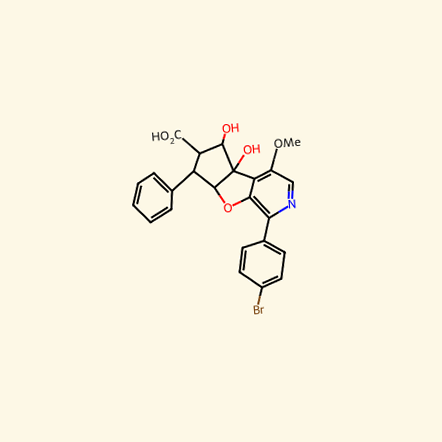 COc1cnc(-c2ccc(Br)cc2)c2c1C1(O)C(O)C(C(=O)O)C(c3ccccc3)C1O2